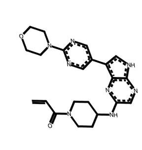 C=CC(=O)N1CCC(Nc2cnc3[nH]cc(-c4cnc(N5CCOCC5)nc4)c3n2)CC1